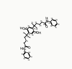 CC(C)(CCCC(=O)Nc1ccccc1)c1cc(O)c(C(C)(C)CCCC(=O)Nc2ccccc2)cc1O